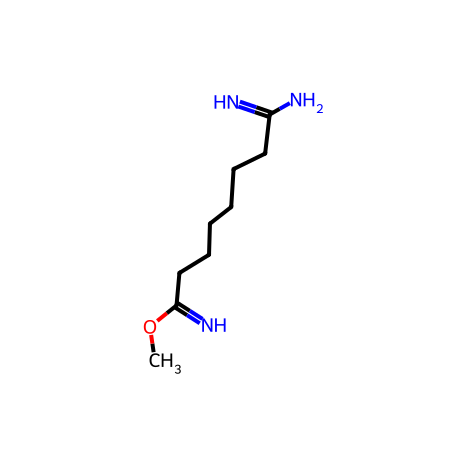 COC(=N)CCCCCCC(=N)N